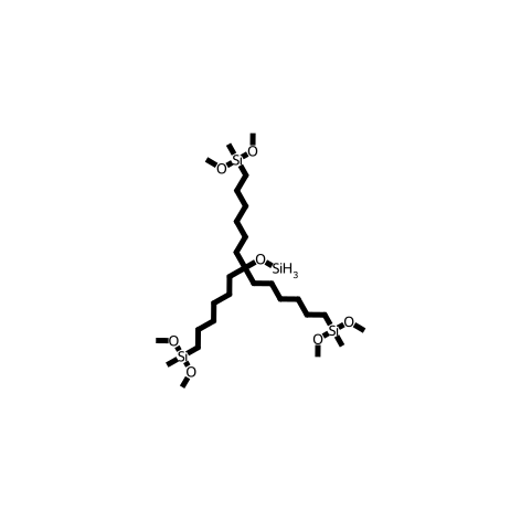 CO[Si](C)(CCCCCCC(CCCCCC[Si](C)(OC)OC)(CCCCCC[Si](C)(OC)OC)O[SiH3])OC